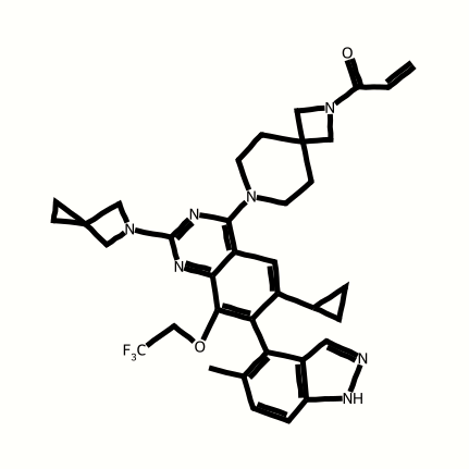 C=CC(=O)N1CC2(CCN(c3nc(N4CC5(CC5)C4)nc4c(OCC(F)(F)F)c(-c5c(C)ccc6[nH]ncc56)c(C5CC5)cc34)CC2)C1